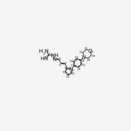 N=C(N)N/N=C/C=C/c1cccn1-c1ccc(N2CCOCC2)cc1